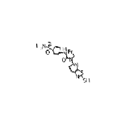 CC(C)CN(C(=O)Nc1ccc(S(N)(=O)=O)cc1)c1ccc2nc(S)sc2n1